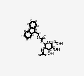 CC(C)=N[C@H]1C(OC(=O)OCC2c3ccccc3-c3ccccc32)O[C@H](CO)[C@@H](O)[C@@H]1O